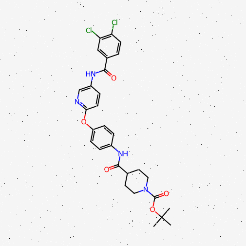 CC(C)(C)OC(=O)N1CCC(C(=O)Nc2ccc(Oc3ccc(NC(=O)c4ccc(Cl)c(Cl)c4)cn3)cc2)CC1